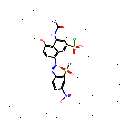 CC(=O)Nc1cc(S(=O)(=O)Cl)cc2c(N=Nc3ccc([N+](=O)[O-])cc3S(C)(=O)=O)ccc(O)c12